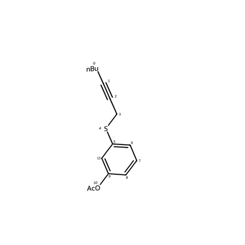 CCCCC#CCSc1cccc(OC(C)=O)c1